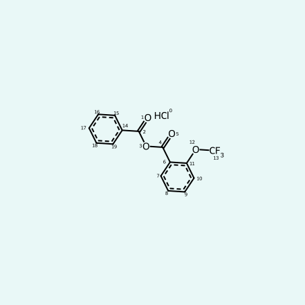 Cl.O=C(OC(=O)c1ccccc1OC(F)(F)F)c1ccccc1